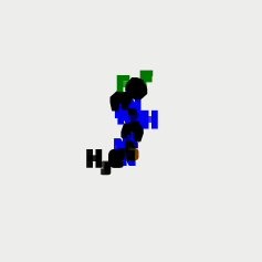 Cc1nsc(N2CCC(Nc3nc4c(-c5ccc(F)cc5F)cccn4n3)CC2)n1